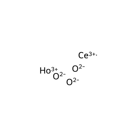 [Ce+3].[Ho+3].[O-2].[O-2].[O-2]